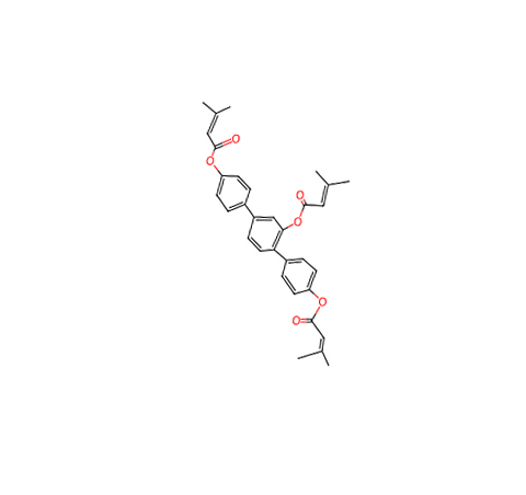 CC(C)=CC(=O)Oc1ccc(-c2ccc(-c3ccc(OC(=O)C=C(C)C)cc3)c(OC(=O)C=C(C)C)c2)cc1